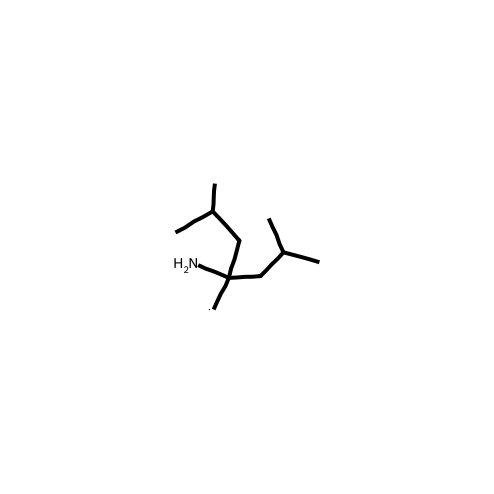 [CH2]C(N)(CC(C)C)CC(C)C